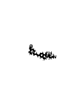 CC1c2ccc(CCCN3CCC(C=O)CC3)cc2CCN1C(=O)CC#N